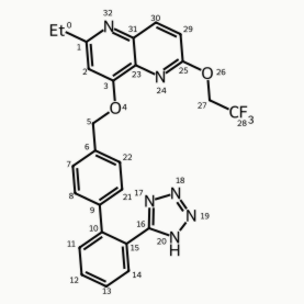 CCc1cc(OCc2ccc(-c3ccccc3-c3nnn[nH]3)cc2)c2nc(OCC(F)(F)F)ccc2n1